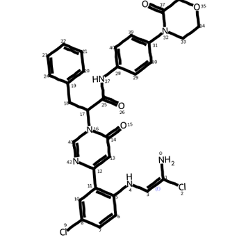 N/C(Cl)=C\Nc1ccc(Cl)cc1-c1cc(=O)n(C(Cc2ccccc2)C(=O)Nc2ccc(N3CCOCC3=O)cc2)cn1